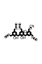 N#COCc1cc(CN=C=O)cc(Cc2cc(CN=C=O)cc(Cc3cc(CN=C=O)cc(CN=C=O)c3O)c2O)c1O